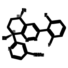 CC[C@H]1CC[C@](CC)(c2cc(NC(C)=O)ccn2)c2nnc(-c3c(F)cccc3F)cc21